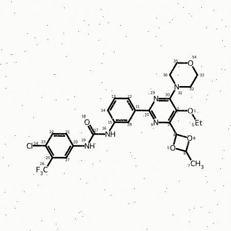 CCOc1c(C2OC(C)O2)nc(-c2cccc(NC(=O)Nc3ccc(Cl)c(C(F)(F)F)c3)c2)nc1N1CCOCC1